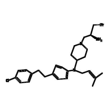 CC(C)=CCN(c1ccc(CCc2ccc(Cl)cc2)cc1)C1CCN(C[C@H](N)CC(C)C)CC1